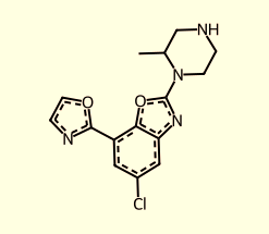 CC1CNCCN1c1nc2cc(Cl)cc(-c3ncco3)c2o1